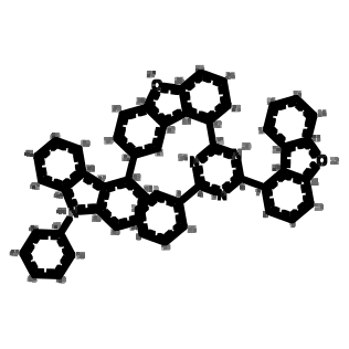 c1ccc(-c2nc(-c3cccc4oc5ccccc5c34)nc(-c3cccc4oc5ccc(-c6cccc7c6c6ccccc6n7-c6ccccc6)cc5c34)n2)cc1